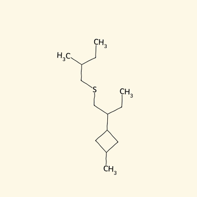 CCC(C)CSCC(CC)C1CC(C)C1